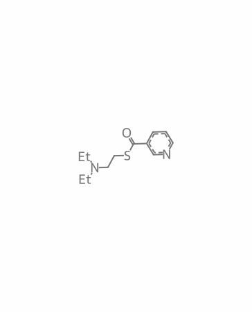 CCN(CC)CCSC(=O)c1cccnc1